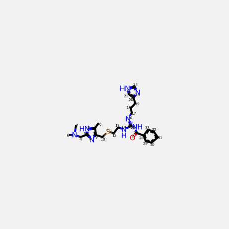 Cc1[nH]c(CN(C)C)nc1CSCCN/C(=N/CCCc1c[nH]cn1)NC(=O)c1ccccc1